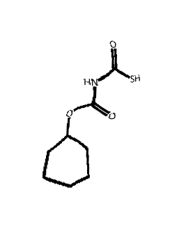 O=C(S)NC(=O)OC1CCCCC1